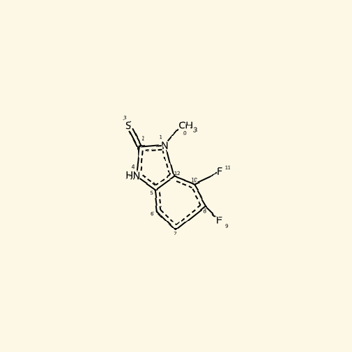 Cn1c(=S)[nH]c2ccc(F)c(F)c21